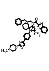 CN1CCN(c2nc(-c3ccc(N(C(=O)C(F)(F)F)C4(C(=O)N(CCCc5ccccc5)C(=O)c5nc6ccccc6o5)CCCCC4)cc3)cs2)CC1